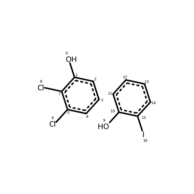 Oc1cccc(Cl)c1Cl.Oc1ccccc1I